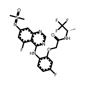 C[C@H](NC(=O)COc1cc(F)ccc1Nc1ncnc2cc(N=S(C)(C)=O)cc(F)c12)C(F)(F)F